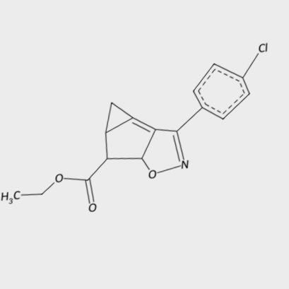 CCOC(=O)C1C2CC2=C2C(c3ccc(Cl)cc3)=NOC21